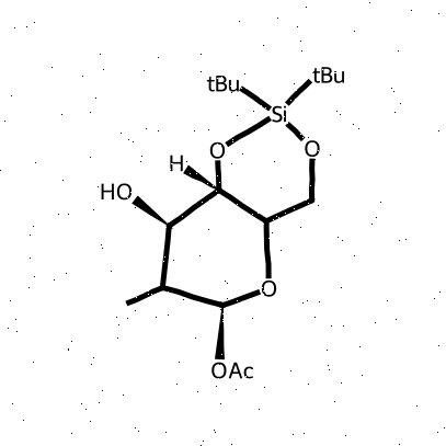 CC(=O)O[C@@H]1OC2CO[Si](C(C)(C)C)(C(C)(C)C)O[C@H]2[C@H](O)C1C